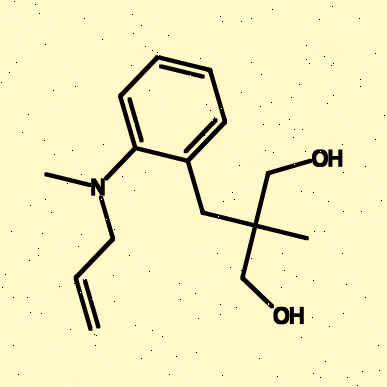 C=CCN(C)c1ccccc1CC(C)(CO)CO